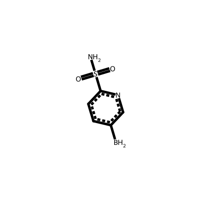 Bc1ccc(S(N)(=O)=O)nc1